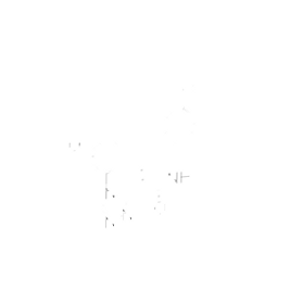 CCCCOc1ccc(C2(C)CC(c3ccc(OC)cc3)=C(c3nnc[nH]3)C(=O)N2)cc1